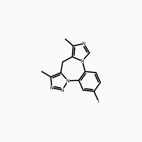 Cc1ncn2c1Cc1c(C)nnn1-c1cc(I)ccc1-2